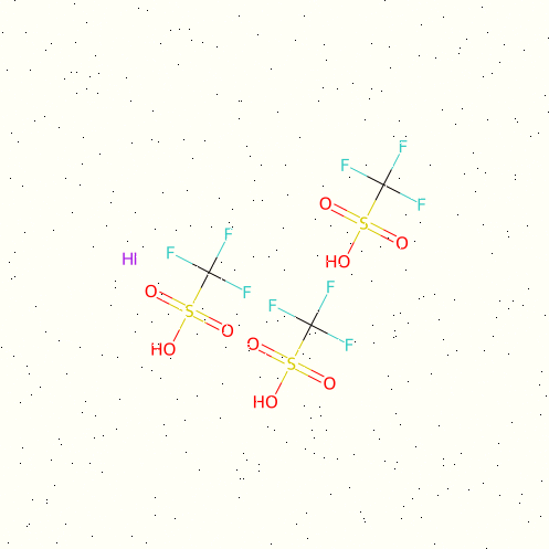 I.O=S(=O)(O)C(F)(F)F.O=S(=O)(O)C(F)(F)F.O=S(=O)(O)C(F)(F)F